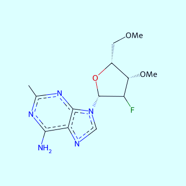 COC[C@H]1O[C@@H](n2cnc3c(N)nc(C)nc32)C(F)[C@H]1OC